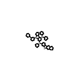 c1ccc(-c2cccc(-n3c4ccccc4c4c(N(c5ccccc5)c5ccccc5)cc(N(c5ccccc5)c5ccc6c(c5)sc5cc7ccccc7cc56)cc43)c2)cc1